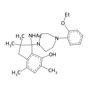 CCOc1ccccc1N1CCN(C2(NC(C)=O)c3c(O)c(C)cc(C)c3CC2(C)C)CC1